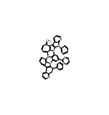 C=C1C=CC=C2B3c4c(cc(-c5ncccn5)cc4-n4c2c1c1c2cccnc2n(-c2ccccc2)c14)-n1c2c(c4cccc3c41)-c1cccnc1CC2c1ccccc1